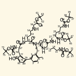 Cc1ccc2cc1C[C@@H](C(=O)N[C@@H](CCCNC(=O)OC(C)(C)C)C(=O)NC[C@H](CCCNC(=O)OC(C)(C)C)NC(=O)OC(C)(C)C)NC(=O)[C@H](CCCNCC(=O)OC(C)(C)C)NC(=O)[C@@H](NC(=O)OC(C)(C)C)Cc1cc-2ccc1O